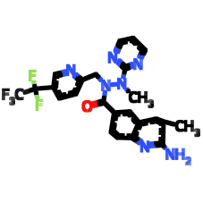 Cc1cc2cc(C(=O)N(Cc3ccc(C(F)(F)C(F)(F)F)cn3)N(C)c3ncccn3)ccc2nc1N